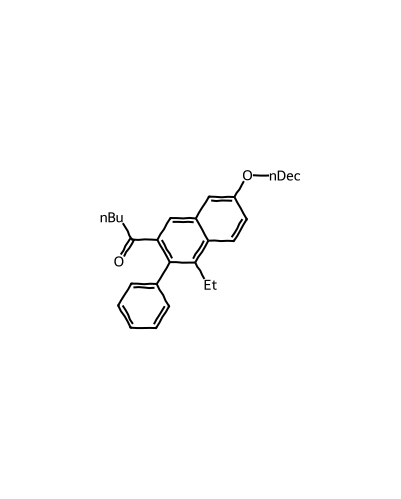 CCCCCCCCCCOc1ccc2c(CC)c(-c3ccccc3)c(C(=O)CCCC)cc2c1